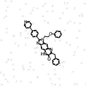 O=c1[nH]c2cc3nc(-c4ccc(-c5ccncc5)cc4)n(CCOc4ccccc4)c3cc2nc1Cc1ccccc1